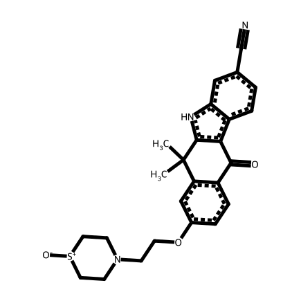 CC1(C)c2cc(OCCN3CC[S+]([O-])CC3)ccc2C(=O)c2c1[nH]c1cc(C#N)ccc21